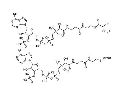 CCC(C(=O)O)C(=O)SCCNC(=O)CCNC(=O)[C@H](O)C(C)(C)COP(=O)(O)OP(=O)(O)OC[C@H]1O[C@@H](n2cnc3c(N)ncnc32)[C@H](O)[C@@H]1OP(=O)(O)O.CCCCCSCCNC(=O)CCNC(=O)[C@H](O)C(C)(C)COP(=O)(O)OP(=O)(O)OC[C@H]1O[C@@H](n2cnc3c(N)ncnc32)[C@H](O)[C@@H]1OP(=O)(O)O